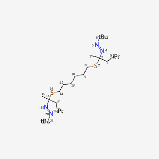 CC(C)CC(C)(N=NC(C)(C)C)SCCCCCCSC(C)(CC(C)C)N=NC(C)(C)C